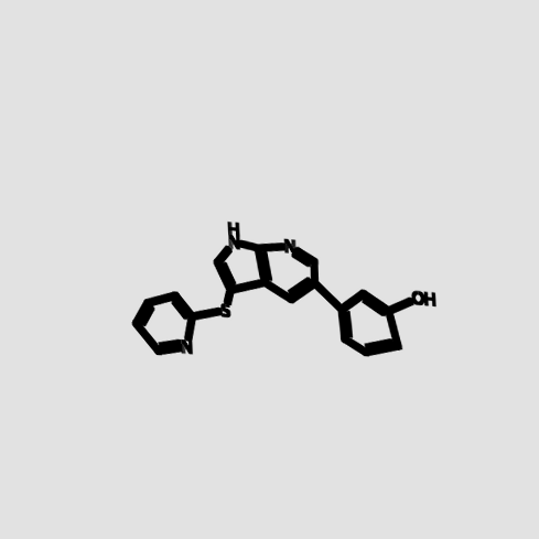 Oc1cccc(-c2cnc3[nH]cc(Sc4ccccn4)c3c2)c1